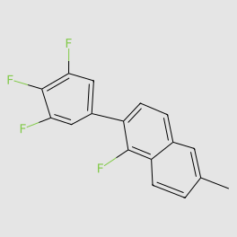 Cc1ccc2c(F)c(-c3cc(F)c(F)c(F)c3)ccc2c1